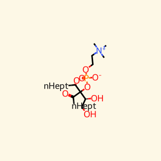 CCCCCCCC(=O)C(OP(=O)([O-])OCC[N+](C)(C)C)(C(=O)CCCCCCC)[C@@H](O)CO